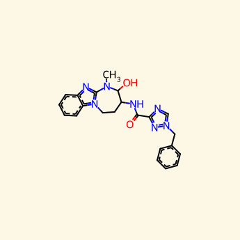 CN1c2nc3ccccc3n2CCC(NC(=O)c2ncn(Cc3ccccc3)n2)C1O